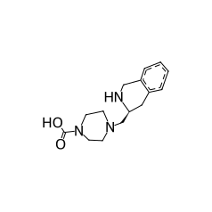 O=C(O)N1CCN(C[C@@H]2Cc3ccccc3CN2)CC1